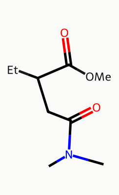 CCC(CC(=O)N(C)C)C(=O)OC